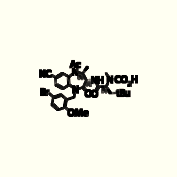 COc1ccc(Br)cc1CN1C(=O)[C@@H](NC(=O)[C@H](CC(C)(C)C)N(C)C(=O)O)[C@H](C)N(C(C)=O)c2cc(C#N)ccc21